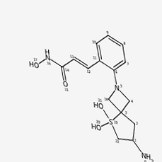 NC1CC2(CN(c3ccccc3/C=C/C(=O)NO)C2)S(O)(O)C1